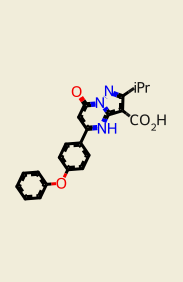 CC(C)c1nn2c(=O)cc(-c3ccc(Oc4ccccc4)cc3)[nH]c2c1C(=O)O